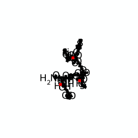 C=C1C[C@@H](CO[Si](C)(C)C(C)(C)C)N(C(=O)c2cc(OC)c(OCCCCCOc3cc(NC(=O)OCc4ccc(SSC(C)(C)C)cc4)c(C(=O)N4CC(=C)C[C@H]4CO[Si](C)(C)C(C)(C)C)cc3OC)cc2NC(=O)OCc2ccc(NC(=O)[C@H](CCCNC(N)=O)NC(=O)[C@@H](NC(=O)CCCCCN3C(=O)C=CC3=O)C(C)C)cc2)C1